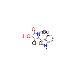 CCCCN1C(=O)C(O)C(C=O)C1c1cn(C)c2ccccc12